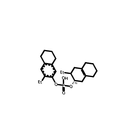 CCc1cc2c(cc1OP(=O)(O)O[C@H]1CC3=C(CCCC3)CC1CC)CCCC2